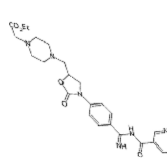 CCOC(=O)CN1CCN(CC2CN(c3ccc(C(=N)NC(=O)c4cccnc4)cc3)C(=O)O2)CC1